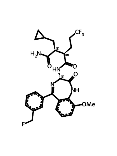 COc1cccc2c1NC(=O)[C@@H](NC(=O)[C@H](CCC(F)(F)F)[C@H](CC1CC1)C(N)=O)N=C2c1cccc(CF)c1